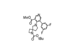 COC(=O)c1cncc(-c2cc(F)cc(F)c2)c1N1CCC2(CCN2C(=O)OC(C)(C)C)C1